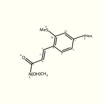 CCCCCCc1ccc(/C=C/C(=O)N(C)O)c(SC)c1